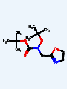 CC(C)(C)OC(=O)N(Cc1ncco1)OC(C)(C)C